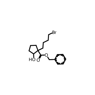 O=C(OCc1ccccc1)C1(CCCCBr)CCCC1O